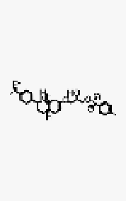 CCN(C)[C@H]1CC=C(C2CC[C@@H]3CC=C(OCC(O)COS(=O)(=O)c4ccc(C)cc4)C[C@@H]3N2)CC1